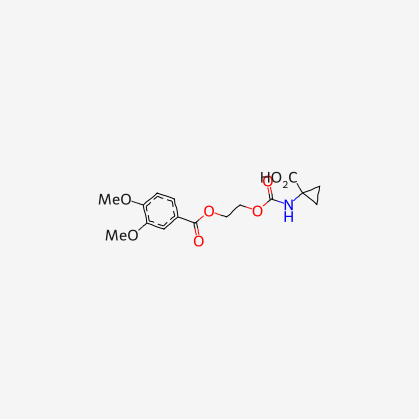 COc1ccc(C(=O)OCCOC(=O)NC2(C(=O)O)CC2)cc1OC